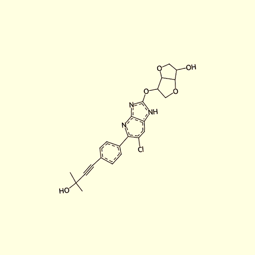 CC(C)(O)C#Cc1ccc(-c2nc3nc(OC4COC5C(O)COC45)[nH]c3cc2Cl)cc1